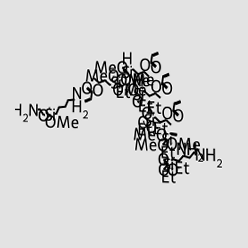 C=CC(=O)OC(C)CC[SiH](OC)OC.C=CC(=O)OC(C)CC[SiH](OCC)OCC.C=CC(=O)OC(C)CC[Si](OC)(OC)OC.C=CC(=O)OC(C)CC[Si](OCC)(OCC)OCC.C=C[Si](OC)(OC)OC.CCO[Si](CCC(N)CCN)(OCC)OCC.CO[Si](C)(CCCCCN)OCN